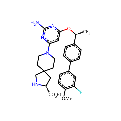 CCOC(=O)[C@@H]1CC2(CCN(c3cc(O[C@H](c4ccc(-c5ccc(OC)c(F)c5)cc4)C(F)(F)F)nc(N)n3)CC2)CN1